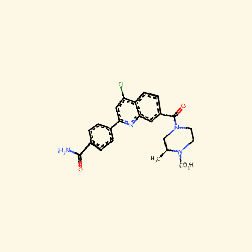 C[C@H]1CN(C(=O)c2ccc3c(Cl)cc(-c4ccc(C(N)=O)cc4)nc3c2)CCN1C(=O)O